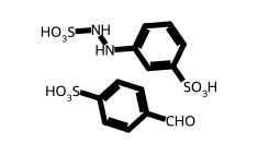 O=Cc1ccc(S(=O)(=O)O)cc1.O=S(=O)(O)NNc1cccc(S(=O)(=O)O)c1